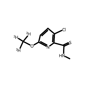 [2H]C([2H])([2H])Oc1ccc(Cl)c(C(=S)NC)n1